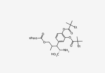 CCCCCC(=O)OCC(C)C(c1ccc(OC(=O)C(C)(C)CC)c(OC(=O)C(C)(C)CC)c1)[C@H](N)C(=O)O